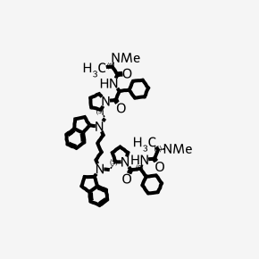 CN[C@@H](C)C(=O)NC(C(=O)N1CCC[C@H]1CN(CCCCN(C[C@@H]1CCCN1C(=O)[C@@H](NC(=O)[C@H](C)NC)C1CCCCC1)C1CCc2ccccc21)C1CCc2ccccc21)C1CCCCC1